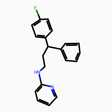 Fc1ccc(C(CCNc2ccccn2)c2ccccc2)cc1